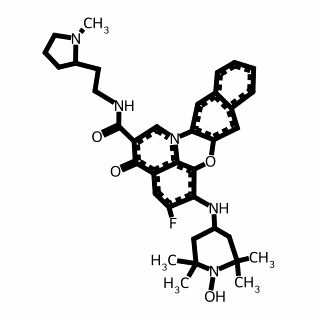 CN1CCCC1CCNC(=O)c1cn2c3c(c(NC4CC(C)(C)N(O)C(C)(C)C4)c(F)cc3c1=O)Oc1cc3ccccc3cc1-2